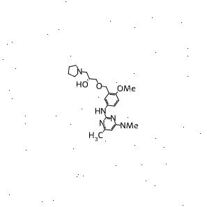 CNc1cc(C)nc(Nc2ccc(OC)c(COC[C@H](O)CN3CCCC3)c2)n1